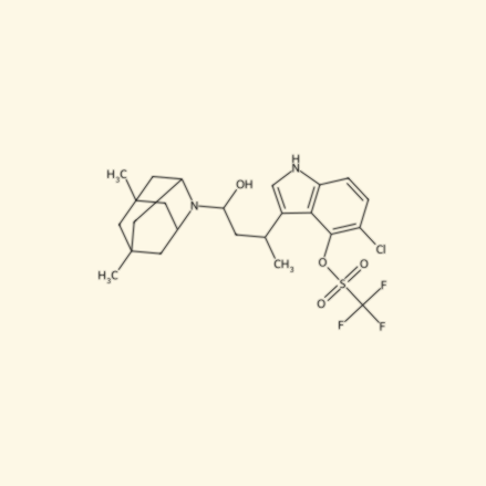 CC(CC(O)N1C2CC3(C)CC1CC(C)(C2)C3)c1c[nH]c2ccc(Cl)c(OS(=O)(=O)C(F)(F)F)c12